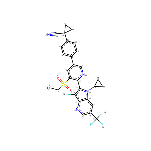 CCS(=O)(=O)c1cc(-c2ccc(C3(C#N)CC3)cc2)cnc1-c1c(F)c2ncc(C(F)(F)F)cc2n1C1CC1